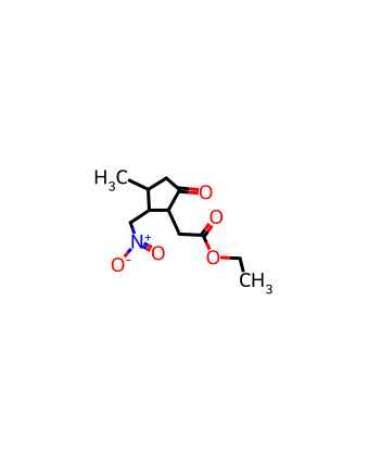 CCOC(=O)CC1C(=O)CC(C)C1C[N+](=O)[O-]